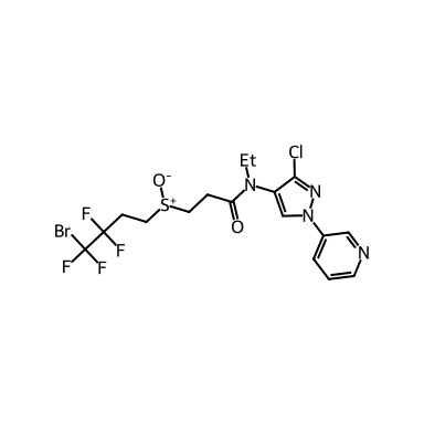 CCN(C(=O)CC[S+]([O-])CCC(F)(F)C(F)(F)Br)c1cn(-c2cccnc2)nc1Cl